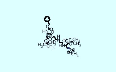 CC(C)(C)OC(=O)C[C@H](NC(=O)OCc1ccccc1)C(=O)NCC(=O)NCC(=O)NC(/C=C/S(C)(=O)=O)C(=O)OC(C)(C)C